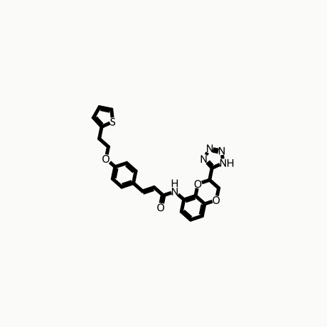 O=C(C=Cc1ccc(OCCc2cccs2)cc1)Nc1cccc2c1OC(c1nnn[nH]1)CO2